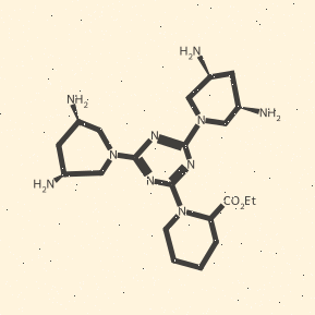 CCOC(=O)C1CCCCN1c1nc(N2C[C@H](N)C[C@H](N)C2)nc(N2C[C@H](N)C[C@H](N)C2)n1